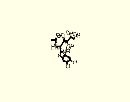 CC(=O)N[C@H](c1nc2cc(Cl)c(Cl)cc2[nH]1)C(O)[C@H](O)C(O)CO